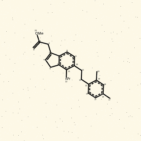 C=C(CC1=CCc2c1ccc(CCc1ccc(C)cc1C)c2CCC)OC